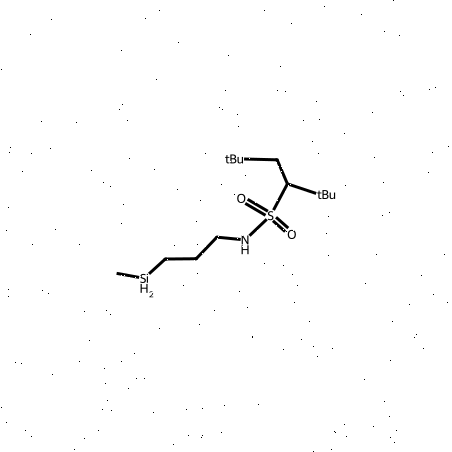 C[SiH2]CCCNS(=O)(=O)C(CC(C)(C)C)C(C)(C)C